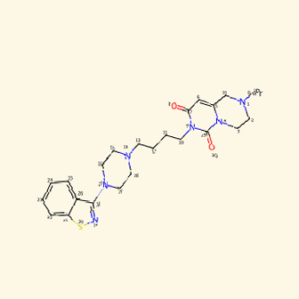 CC(C)N1CCn2c(cc(=O)n(CCCCN3CCN(c4nsc5ccccc45)CC3)c2=O)C1